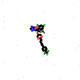 CC(SC1COC(/C=C/C#Cc2ccc(C(F)(F)F)cc2)OC1)C(O)(Cn1cncn1)c1ccc(F)cc1F